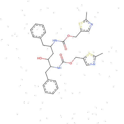 Cc1ncc(COC(=O)NC(Cc2ccccc2)CC(O)C(Cc2ccccc2)NC(=O)OCc2cnc(C)s2)s1